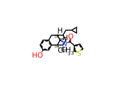 CN(C(=O)c1ccsc1)[C@@H]1[C@H]2Cc3ccc(O)cc3[C@]1(C)CCC2CC1CC1